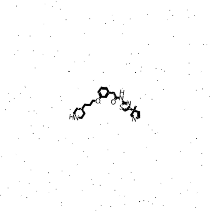 CC1(c2csc(NC(=O)Cc3cccc(OCCCC4CCNCC4)c3)n2)C=CN=C1